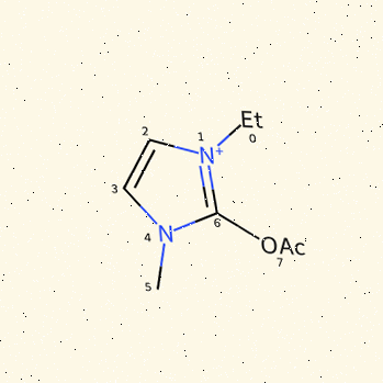 CC[n+]1ccn(C)c1OC(C)=O